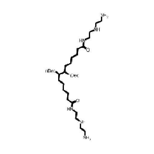 CCCCCCCCCCC(CCCCCC(=O)NCCNCCN)C(CCCCCCCCCC)CCCCCC(=O)NCCNCCN